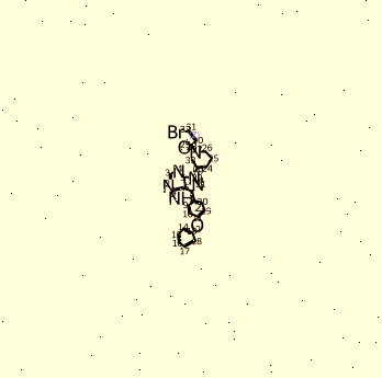 Nc1ncnc2c1c(-c1ccc(Oc3ccccc3)cc1)nn2[C@@H]1CCCN(C(=O)/C=C\Br)C1